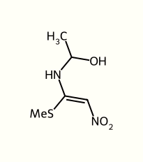 CS/C(=C\[N+](=O)[O-])NC(C)O